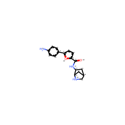 Nc1ccc(-c2ccc(C(=O)NC3CC4CNC3C4)o2)cc1